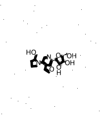 OCC1CCCN1c1cnc([C@@H]2O[C@H](CO)[C@@H](O)[C@H]2O)c2occc12